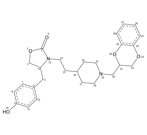 O=C1OCC(Cc2ccc(O)cc2)N1CCC1CCN(CC2COc3ccccc3O2)CC1